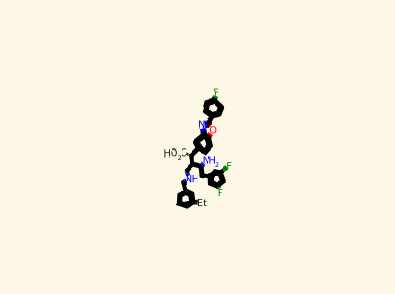 CCc1cccc(CNCC(C(N)Cc2cc(F)cc(F)c2)[C@H](C(=O)O)c2ccc3oc(-c4ccc(F)cc4)nc3c2)c1